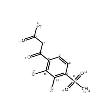 CC(C)C(=O)CC(=O)c1ccc(S(C)(=O)=O)c(Cl)c1Cl